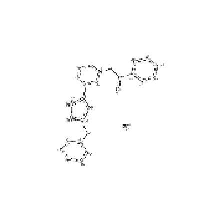 O=C(C[n+]1cccc(-c2cc(Cc3ccccc3)n[nH]2)c1)c1ccccc1.[Br-]